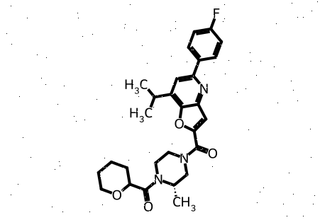 CC(C)c1cc(-c2ccc(F)cc2)nc2cc(C(=O)N3CCN(C(=O)C4CCCCO4)[C@@H](C)C3)oc12